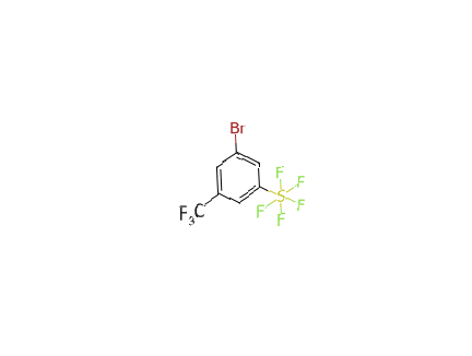 FC(F)(F)c1cc(Br)cc(S(F)(F)(F)(F)F)c1